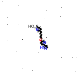 O=C(O)c1ccc(CCCCCOc2ccc(-c3ccn[nH]3)nc2)cn1